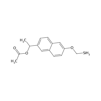 CC(=O)OC(C)c1ccc2cc(OC[SiH3])ccc2c1